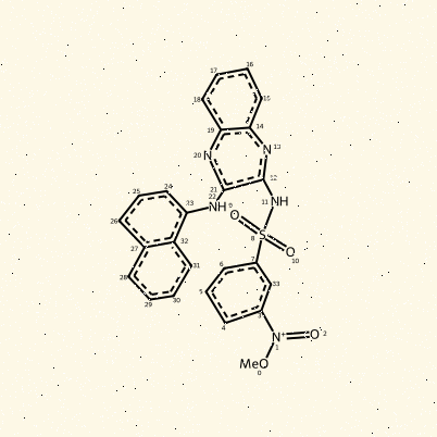 CO[N+](=O)c1cccc(S(=O)(=O)Nc2nc3ccccc3nc2Nc2cccc3ccccc23)c1